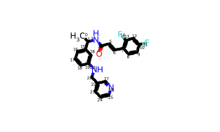 CC(NC(=O)C=Cc1ccc(F)cc1F)c1cccc(NCc2cccnc2)c1